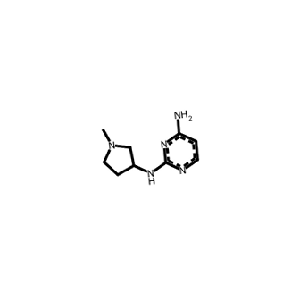 CN1CCC(Nc2nccc(N)n2)C1